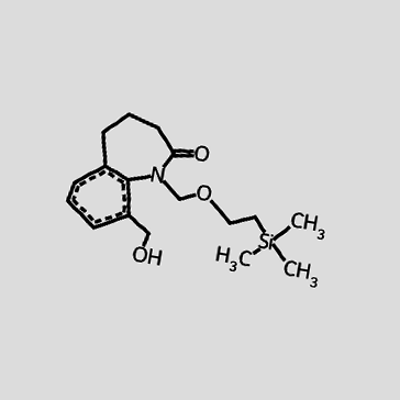 C[Si](C)(C)CCOCN1C(=O)CCCc2cccc(CO)c21